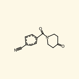 N#Cc1ccc(C(=O)N2CCC(=O)CC2)cc1